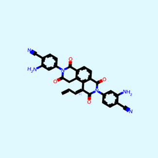 C=C/C=C1/C(=O)N(c2ccc(C#N)c(N)c2)C(=O)c2ccc3c(c21)CC(=O)N(c1ccc(C#N)c(N)c1)C3=O